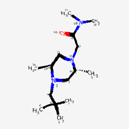 C[C@@H]1CN(CC(C)(C)C)[C@@H](C)CN1CC(=O)N(C)C